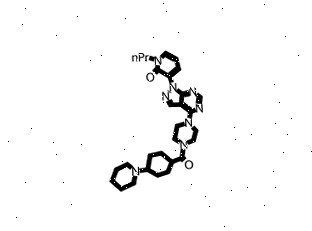 CCCn1cccc(-n2ncc3c(N4CCN(C(=O)C5CCC(N6CCCCC6)CC5)CC4)ncnc32)c1=O